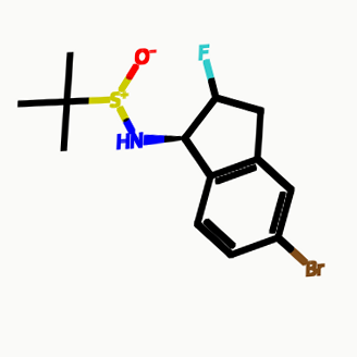 CC(C)(C)[S+]([O-])N[C@@H]1c2ccc(Br)cc2CC1F